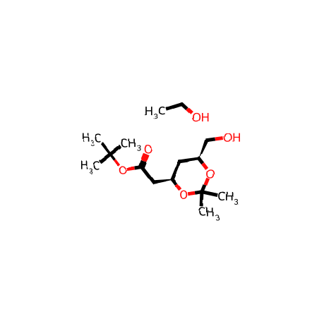 CC(C)(C)OC(=O)C[C@H]1C[C@@H](CO)OC(C)(C)O1.CCO